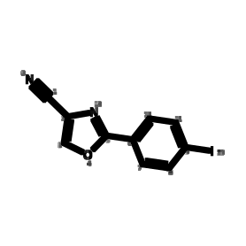 N#Cc1coc(-c2ccc(I)cc2)n1